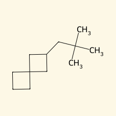 CC(C)(C)CC1CC2(CCC2)C1